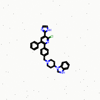 Clc1nc(-c2ccc(CN3CCC(N4[CH]Nc5ccccc54)CC3)cc2)c(-c2ccccc2)cc1-c1ncc[nH]1